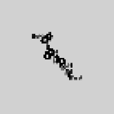 CCCCCc1nnc(NNc2ccc(NNc3ccc(/N=N/c4ccc(NC(C)CC)c5ccccc45)c4ccccc34)cc2C)s1